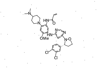 C=CC(=O)Nc1cc(Nc2cc(N3OCC[C@@H]3c3ccc(Cl)c(Cl)c3)ncn2)c(OC)cc1N1CCC(N(C)C)CC1